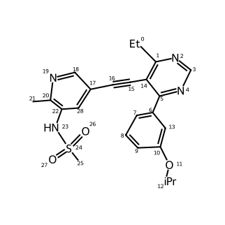 CCc1ncnc(-c2cccc(OC(C)C)c2)c1C#Cc1cnc(C)c(NS(C)(=O)=O)c1